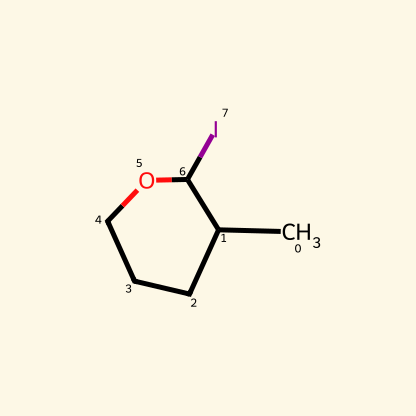 CC1CCCOC1I